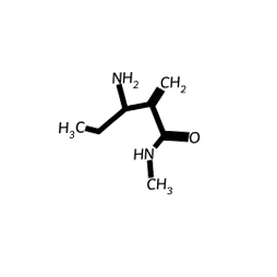 C=C(C(=O)NC)C(N)CC